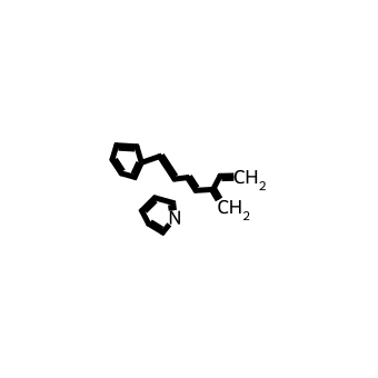 C=CC(=C)C=CC=Cc1ccccc1.c1ccncc1